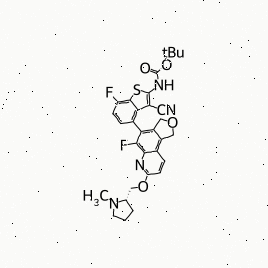 CN1CCC[C@H]1COc1ccc2c3c(c(-c4ccc(F)c5sc(NC(=O)OC(C)(C)C)c(C#N)c45)c(F)c2n1)COC3